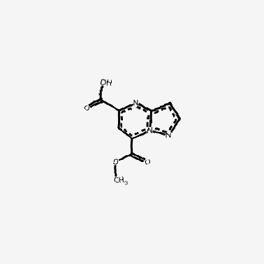 COC(=O)c1cc(C(=O)O)nc2ccnn12